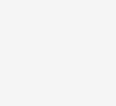 CC1(C)c2ccccc2-c2nc3ccccc3c(-c3ccc(-c4cccc(-c5ccc6ccc7ccc(-c8ccccc8)nc7c6n5)c4)cc3)c21